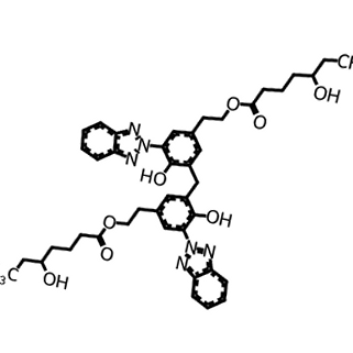 CCC(O)CCCC(=O)OCCc1cc(Cc2cc(CCOC(=O)CCCC(O)CC)cc(-n3nc4ccccc4n3)c2O)c(O)c(-n2nc3ccccc3n2)c1